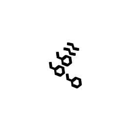 C=CC=C.C=CC=C.C=Cc1ccccc1.C=Cc1ccccc1.C=Cc1ccccc1